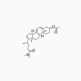 CC(=O)O[C@H]1CC[C@@]2(C)C(=CC=C3[C@@H]4CC[C@H]([C@H](C)CCC(=O)N(C)C)[C@@]4(C)CC[C@@H]32)C1